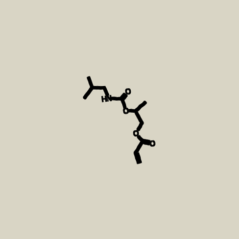 C=CC(=O)OCC(C)OC(=O)NCC(C)C